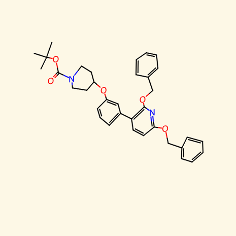 CC(C)(C)OC(=O)N1CCC(Oc2cccc(-c3ccc(OCc4ccccc4)nc3OCc3ccccc3)c2)CC1